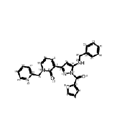 O=C(c1ccco1)n1nc(-c2cccn(Cc3ccccn3)c2=O)cc1NCc1ccccc1